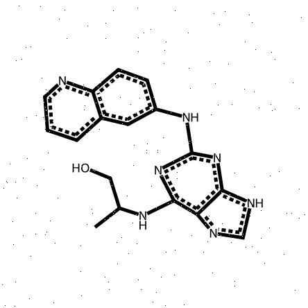 CC(CO)Nc1nc(Nc2ccc3ncccc3c2)nc2[nH]cnc12